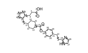 O=C(O)CCn1nnnc1SC1CCN(C(=O)Oc2ccc(CSc3ncc[nH]3)cc2)CC1